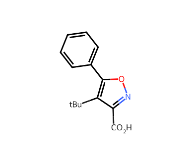 CC(C)(C)c1c(C(=O)O)noc1-c1ccccc1